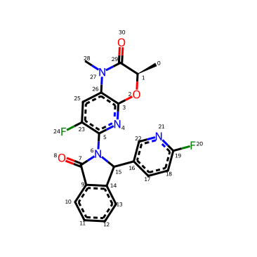 C[C@H]1Oc2nc(N3C(=O)c4ccccc4C3c3ccc(F)nc3)c(F)cc2N(C)C1=O